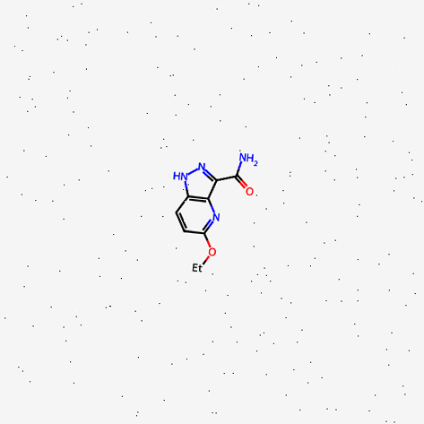 CCOc1ccc2[nH]nc(C(N)=O)c2n1